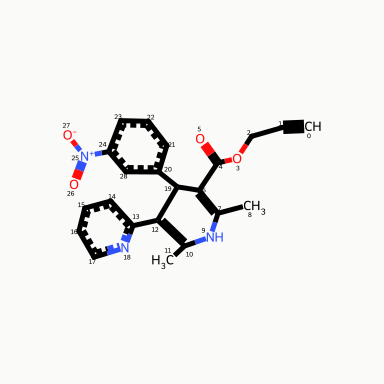 C#CCOC(=O)C1=C(C)NC(C)=C(c2ccccn2)C1c1cccc([N+](=O)[O-])c1